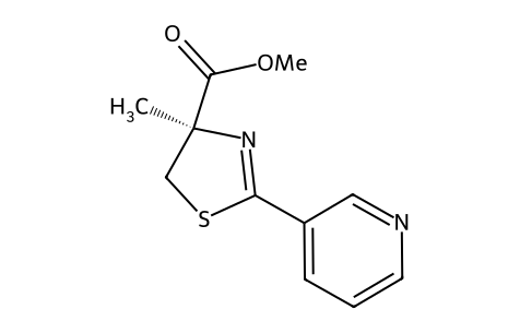 COC(=O)[C@]1(C)CSC(c2cccnc2)=N1